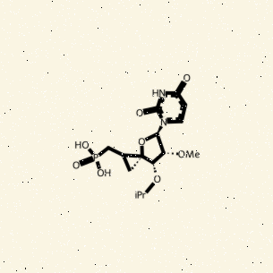 CO[C@H]1[C@H](n2ccc(=O)[nH]c2=O)O[C@@]2(CC2CP(=O)(O)O)[C@H]1OC(C)C